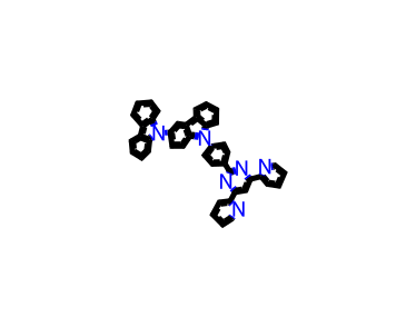 c1ccc(-c2cc(-c3ccccn3)nc(-c3ccc(-n4c5ccccc5c5cc(-n6c7ccccc7c7ccccc76)ccc54)cc3)n2)nc1